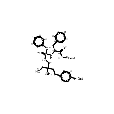 CCCCCCCCc1ccc(CCC(N)(CO)COP(=O)(N[C@@H](Cc2ccccc2)C(=O)OCCCCC)Oc2ccccc2)cc1